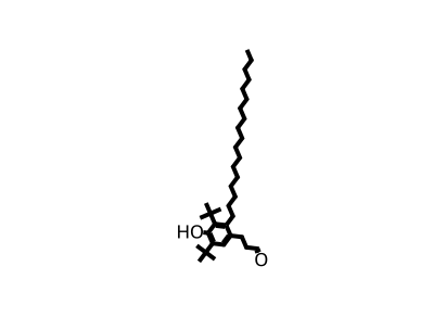 CCCCCCCCCCCCCCCCCCc1c(CCC=O)cc(C(C)(C)C)c(O)c1C(C)(C)C